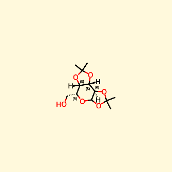 CC1(C)O[C@@H]2[C@H](O1)[C@H]1OC(C)(C)OC1O[C@@H]2CO